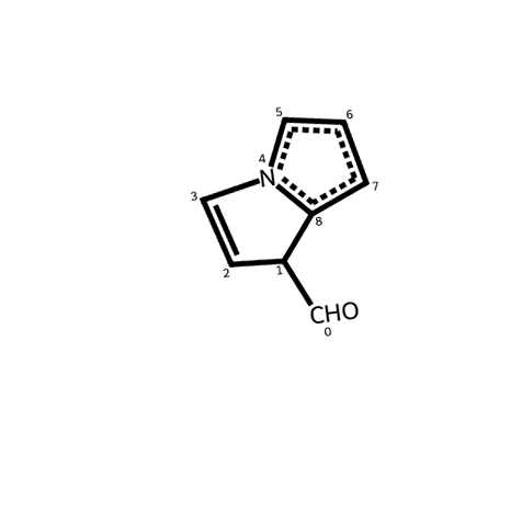 O=CC1C=Cn2cccc21